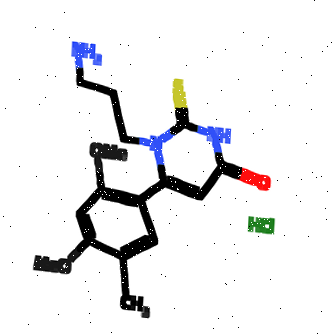 COc1cc(OC)c(-c2cc(=O)[nH]c(=S)n2CCCN)cc1C.Cl